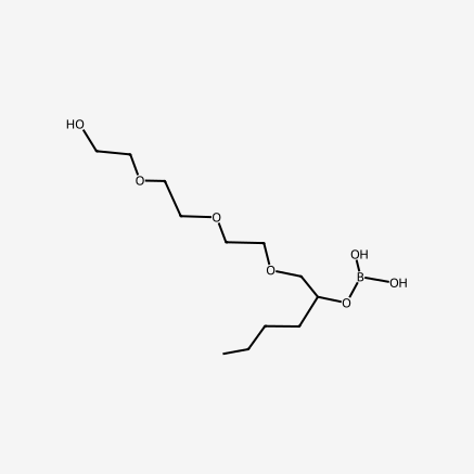 CCCCC(COCCOCCOCCO)OB(O)O